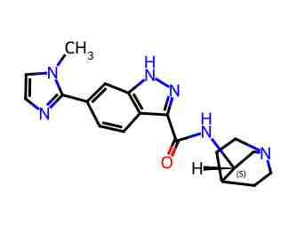 Cn1ccnc1-c1ccc2c(C(=O)N[C@@H]3CN4CCC3CC4)n[nH]c2c1